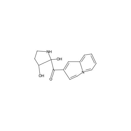 O=C(c1cc[n+]2ccccc2c1)C1(O)NCCC1O